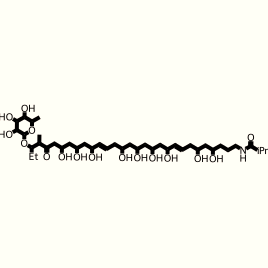 CCC(OC1OC(C)C(O)C(O)C1O)C(C)C(=O)CC(O)CC(O)CC(O)/C=C/CC(O)CC(O)CC(O)CC(O)/C=C/CC(O)CC(O)CCCNC(=O)C(C)C